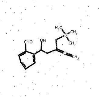 C=C=C(CC(O)c1ccccc1C=O)C[Si](C)(C)C